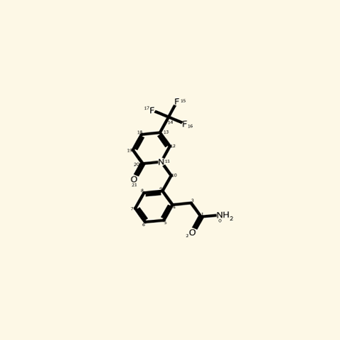 NC(=O)Cc1ccccc1Cn1cc(C(F)(F)F)ccc1=O